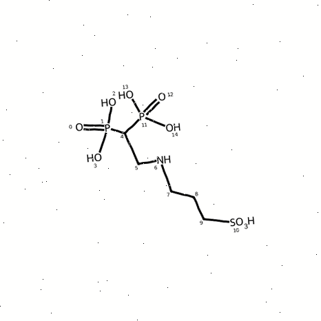 O=P(O)(O)C(CNCCCS(=O)(=O)O)P(=O)(O)O